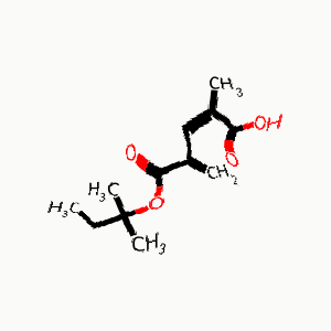 C=C(C=C(C)C(=O)O)C(=O)OC(C)(C)CC